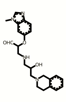 Cn1cnc2ccc(OC(C=O)CNCC(O)CN3CCc4ccccc4C3)cc21